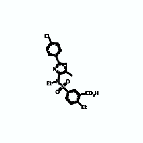 CCc1ccc(S(=O)(=O)N(CC)c2nc(-c3ccc(Cl)cc3)sc2C)cc1C(=O)O